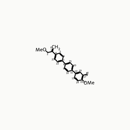 C=C(COC)c1ccc(-c2ccc(-c3ccc(OC)c(F)c3)cc2)cc1